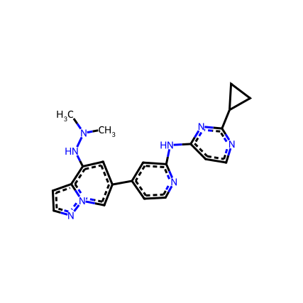 CN(C)Nc1cc(-c2ccnc(Nc3ccnc(C4CC4)n3)c2)cn2nccc12